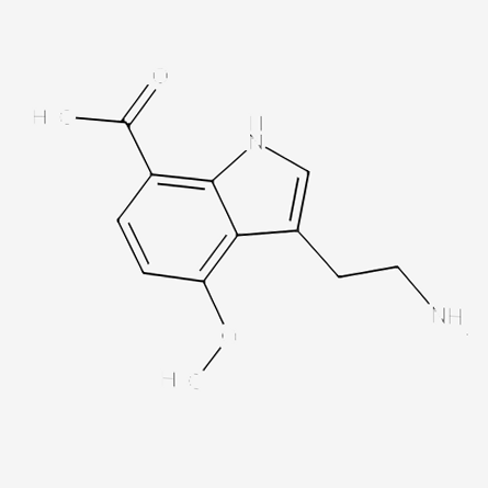 COc1ccc(C(C)=O)c2[nH]cc(CCN)c12